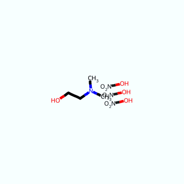 CN(C)CCO.O=[N+]([O-])O.O=[N+]([O-])O.O=[N+]([O-])O